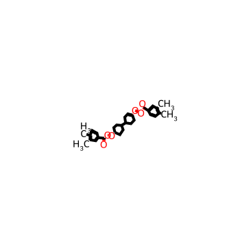 Cc1ccc(C(=O)OOC2=CCC(C3CCC(OOC(=O)c4ccc(C)c(C)c4)CC3)CC2)cc1C